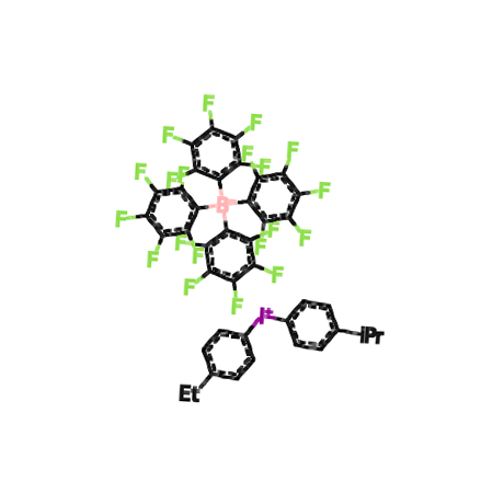 CCc1ccc([I+]c2ccc(C(C)C)cc2)cc1.Fc1c(F)c(F)c([B-](c2c(F)c(F)c(F)c(F)c2F)(c2c(F)c(F)c(F)c(F)c2F)c2c(F)c(F)c(F)c(F)c2F)c(F)c1F